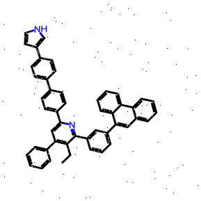 CCc1c(-c2ccccc2)cc(-c2ccc(-c3ccc(-c4cc[nH]c4)cc3)cc2)nc1-c1cccc(-c2cc3ccccc3c3ccccc23)c1